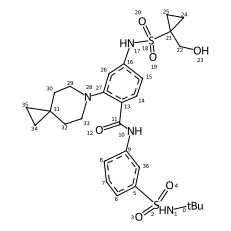 CC(C)(C)NS(=O)(=O)c1cccc(NC(=O)c2ccc(NS(=O)(=O)C3(CO)CC3)cc2N2CCC3(CC2)CC3)c1